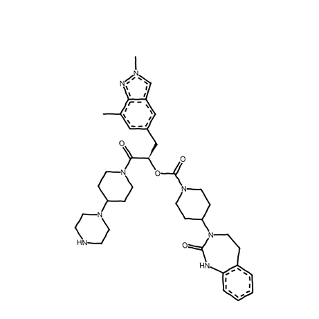 Cc1cc(C[C@@H](OC(=O)N2CCC(N3CCc4ccccc4NC3=O)CC2)C(=O)N2CCC(N3CCNCC3)CC2)cc2cn(C)nc12